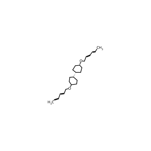 C/C=C/C=C/COC1CCC([C@H]2CC[C@H](OC/C=C/C=C/C)CC2)CC1